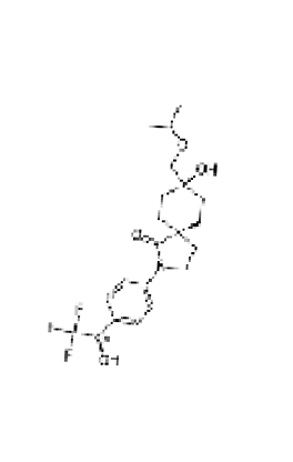 CC(C)OC[C@]1(O)CC[C@]2(CCN(c3ccc([C@@H](O)C(F)(F)F)cc3)C2=O)CC1